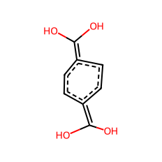 OC(O)=c1ccc(=C(O)O)cc1